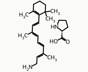 CC(C=CC1=C(C)CCCC1(C)C)=CC=CC(C)=CCN.O=C(O)[C@@H]1CCCN1